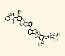 CCOc1cc(O[C@H]2CCc3c(-c4cccc5c4CC[C@@H]5Oc4cc(OCC)c(CN[C@@](C)(CO)C(=O)O)cc4Cl)cccc32)c(Cl)cc1CN[C@@H]1CCC[C@@H]1O